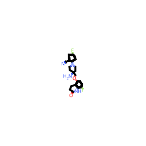 N#Cc1cc(F)ccc1N1CCC(N)(COc2ccc(F)c3c2CCC(=O)N3)CC1